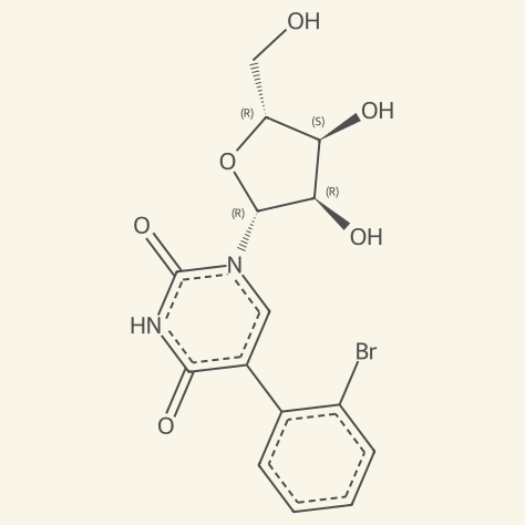 O=c1[nH]c(=O)n([C@@H]2O[C@H](CO)[C@@H](O)[C@H]2O)cc1-c1ccccc1Br